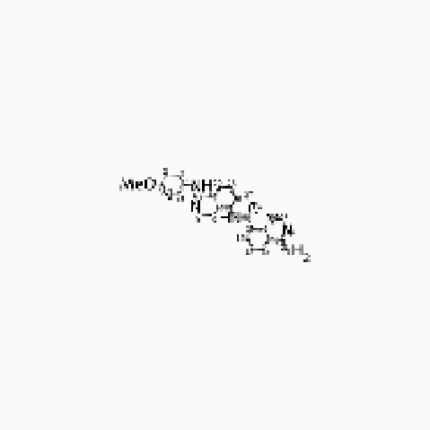 COc1ccc(Nc2nccc3c(NC(=O)c4cccc5c(N)ncnc45)c(C)ccc23)cn1